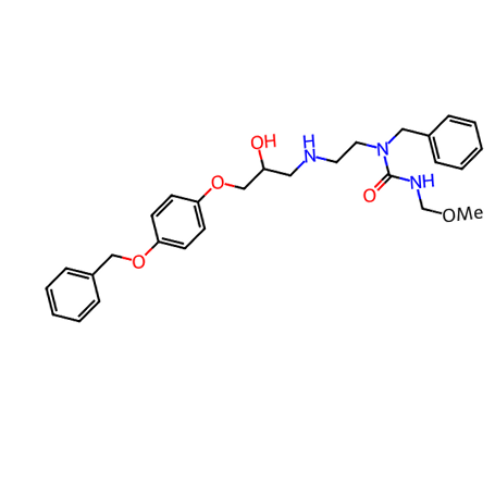 COCNC(=O)N(CCNCC(O)COc1ccc(OCc2ccccc2)cc1)Cc1ccccc1